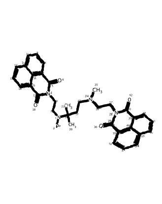 CC(C)N(CCN1C(=O)c2cccc3cccc(c23)C1=O)C(C)(C)CCN(C)CCN1C(=O)c2cccc3cccc(c23)C1=O